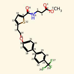 COC(=O)CCNC(=O)c1ccc(CCOc2ccc(-c3ccc(C(F)(F)F)cc3)cc2)s1